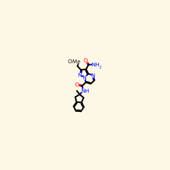 COCc1nn2c(C(=O)NC3(C)Cc4ccccc4C3)ccnc2c1C(N)=O